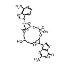 Nc1nc2c(ncn2C2OC3CC(O)CO[C@@H]4C[C@H](n5cnc6c(N)ncnc65)OC4COP(=O)(O)OC2C3F)c(=O)[nH]1